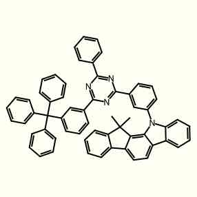 CC1(C)c2ccccc2-c2ccc3c4ccccc4n(-c4cccc(-c5nc(-c6ccccc6)nc(-c6cccc(C(c7ccccc7)(c7ccccc7)c7ccccc7)c6)n5)c4)c3c21